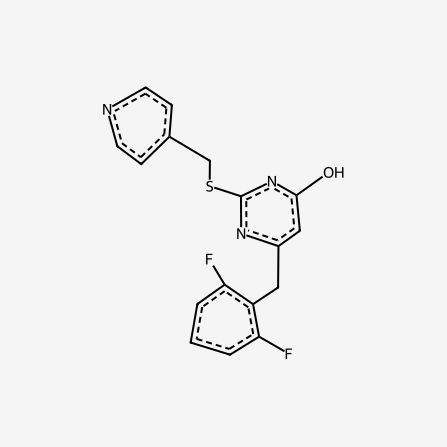 Oc1cc(Cc2c(F)cccc2F)nc(SCc2ccncc2)n1